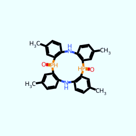 Cc1ccc2c(c1)[PH](=O)c1cc(C)ccc1Nc1ccc(C)cc1[PH](=O)c1cc(C)ccc1N2